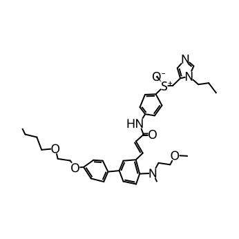 CCCCOCCOc1ccc(-c2ccc(N(C)CCOC)c(C=CC(=O)Nc3ccc([S@@+]([O-])Cc4cncn4CCC)cc3)c2)cc1